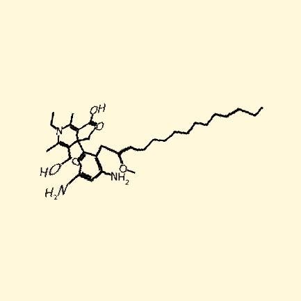 CCCCCCCCCCCCCC(Cc1c(N)cc(N)cc1C1(CC)C(C(=O)O)=C(C)N(CC)C(C)=C1C(=O)O)OC